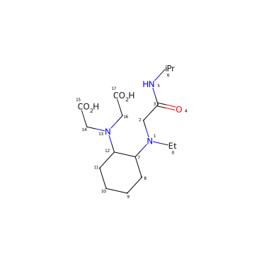 CCN(CC(=O)NC(C)C)C1CCCCC1N(CC(=O)O)CC(=O)O